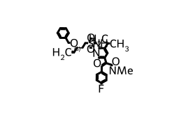 C=C[C@H](CCS(=O)(=O)Nc1nc2oc(-c3ccc(F)cc3)c(C(=O)NC)c2cc1C(=C)C)OCc1ccccc1